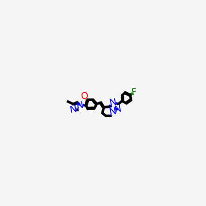 COc1cc(/C=C2\CCCn3nc(-c4ccc(F)cc4)nc32)ccc1-n1cnc(C)c1